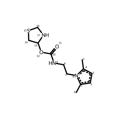 Cc1ccc(C)n1CCNC(=O)OC1CSCN1